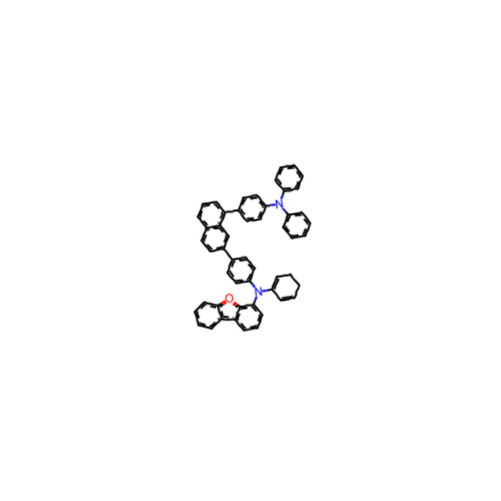 C1=CC(N(c2ccc(-c3ccc4cccc(-c5ccc(N(c6ccccc6)c6ccccc6)cc5)c4c3)cc2)c2cccc3c2oc2ccccc23)=CCC1